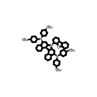 CC(C)(C)c1ccc(N(c2ccc(C(C)(C)C)cc2)c2cc3c(c4ccccc24)c2c4ccccc4c(N(c4ccc(C(C)(C)C)cc4)c4ccc(C(C)(C)C)cc4)cc2n3-c2cccc3c2oc2ccccc23)cc1